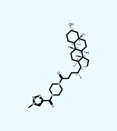 C[C@H](CCC(=O)N1CCN(C(=O)c2cn(C)nn2)CC1)[C@H]1CC[C@H]2[C@@H]3CC[C@H]4C[C@@H](O)CC[C@]4(C)[C@H]3CC[C@]12C